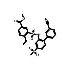 CCc1ccc(C(=O)OC)cc1S(=O)(=O)Nc1cc(S(C)(=O)=O)ccc1-c1cccc(C#N)c1